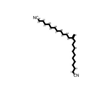 C=C(CCCCCCCCCCC#N)CCCCCCCCCCCC#N